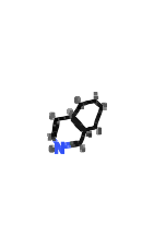 [C]1CCCc2cnccc21